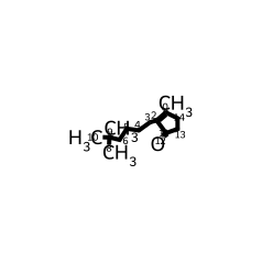 CC1=C(CCCCC(C)(C)C)C(=O)CC1